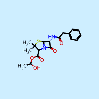 CC(O)OC(=O)C1N2C(=O)[C@@H](NC(=O)Cc3ccccc3)C2SC1(C)C